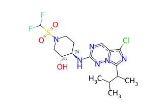 CC(C)C(C)c1nc(Cl)c2cnc(N[C@@H]3CCN(S(=O)(=O)C(F)F)C[C@H]3O)nn12